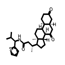 CC(C)C(NC(=O)C[C@@H](C)C1CC[C@H]2[C@@H]3C(=O)C[C@@H]4CC(=O)CC[C@]4(C)[C@H]3CC[C@]12C)c1cccs1